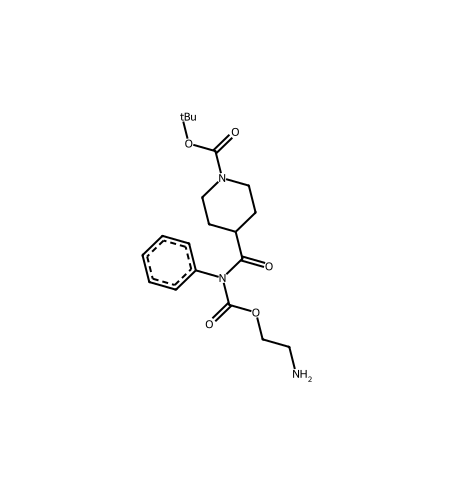 CC(C)(C)OC(=O)N1CCC(C(=O)N(C(=O)OCCN)c2ccccc2)CC1